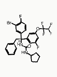 O=C(NC1CCCC1)N[C@@](Cc1ccccc1)(c1cc(F)cc(OC(F)(F)C(F)F)c1)c1ccc(F)c(Br)c1